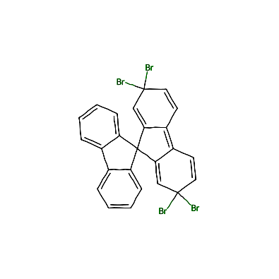 BrC1(Br)C=CC2=C3C=CC(Br)(Br)C=C3C3(C2=C1)c1ccccc1-c1ccccc13